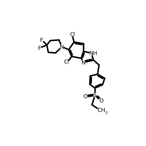 CCS(=O)(=O)c1ccc(Cc2nc3c(Cl)c(N4CCC(F)(F)CC4)c(Cl)cc3[nH]2)cc1